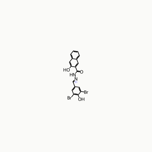 O=C(N/N=C/c1cc(Br)c(O)c(Br)c1)c1cc2ccccc2cc1O